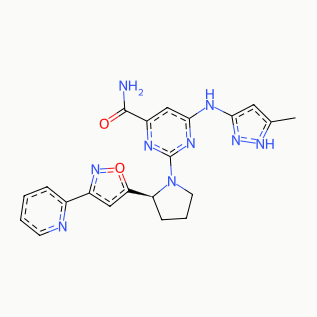 Cc1cc(Nc2cc(C(N)=O)nc(N3CCC[C@H]3c3cc(-c4ccccn4)no3)n2)n[nH]1